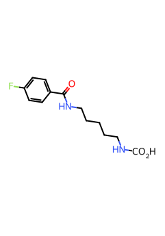 O=C(O)NCCCCCNC(=O)c1ccc(F)cc1